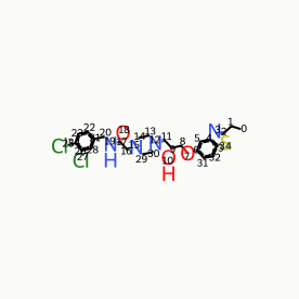 CCc1nc2cc(OCC(O)CN3CCN(CC(=O)NCc4ccc(Cl)c(Cl)c4)CC3)ccc2s1